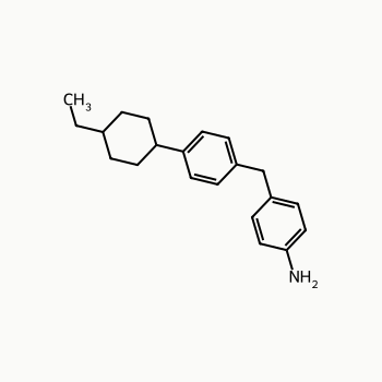 CCC1CCC(c2ccc(Cc3ccc(N)cc3)cc2)CC1